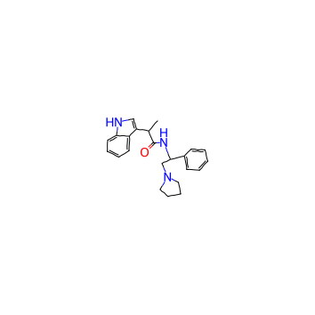 CC(C(=O)NC(CN1CCCC1)c1ccccc1)c1c[nH]c2ccccc12